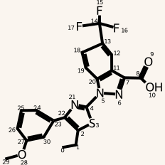 CCc1sc(-n2nc(C(=O)O)c3cc(C(F)(F)F)ccc32)nc1-c1cccc(OC)c1